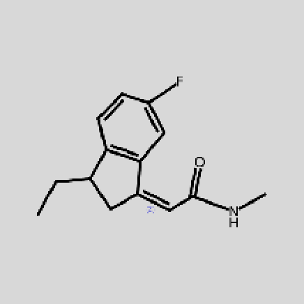 CCC1C/C(=C/C(=O)NC)c2cc(F)ccc21